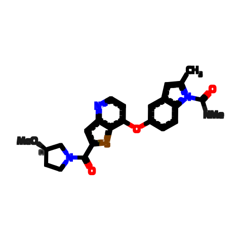 CNC(=O)n1c(C)cc2cc(Oc3ccnc4cc(C(=O)N5CC[C@@H](OC)C5)sc34)ccc21